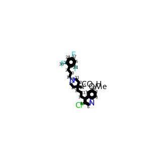 COc1ccc2ncc(Cl)c(CCCC3(CC(=O)O)CCN(CCCc4c(F)cc(F)cc4F)CC3)c2c1